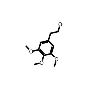 COc1cc(CC[O])cc(OC)c1OC